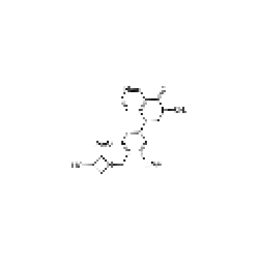 COc1cc(-c2cn(C)c(=O)c3cnccc23)cc(OC)c1CN1CC(O)C1